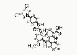 COc1ccc(NC(=O)Nc2ccc(N(CCCl)CCCl)cc2)cc1Nc1c2ccccc2nc2c(C(=O)O)cccc12